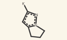 [K][c]1cc2n(n1)CCC2